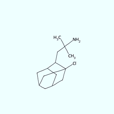 CC(C)(N)CC1C2CC3CC(C2)CC1(Cl)C3